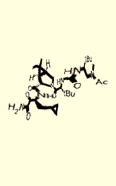 CC(=O)N(C)C[C@@H](NC(=O)N[C@H](C(=O)N1C[C@H]2[C@@H]([C@H]1C(=O)NC(CC1CC1)C(=O)C(N)=O)C2(C)C)C(C)(C)C)C(C)(C)C